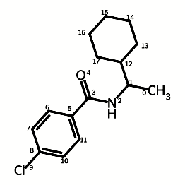 CC(NC(=O)c1ccc(Cl)cc1)C1CCCCC1